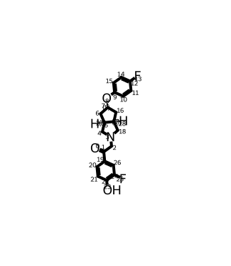 O=C(CN1C[C@H]2C[C@H](Oc3ccc(F)cc3)C[C@H]2C1)c1ccc(O)c(F)c1